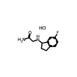 Cl.NC(=O)CNC1CCc2ccc(F)cc21